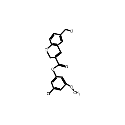 COc1cc(Cl)cc(OC(=O)C2=Cc3cc(CCl)ccc3OC2)c1